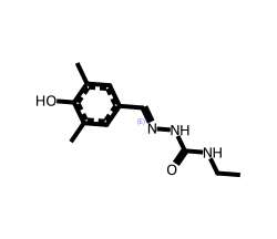 CCNC(=O)N/N=C/c1cc(C)c(O)c(C)c1